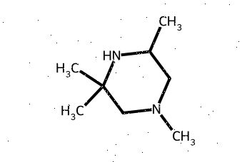 CC1CN(C)CC(C)(C)N1